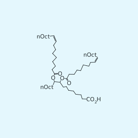 CCCCCCCC/C=C\CCCCCCCC(=O)OC(CCCCCCCC)C(CCCCCCCC(=O)O)OC(=O)CCCCCCC/C=C\CCCCCCCC